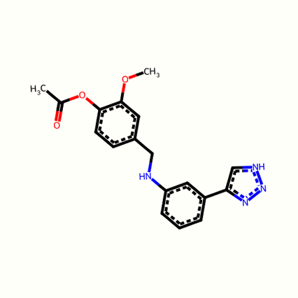 COc1cc(CNc2cccc(-c3c[nH]nn3)c2)ccc1OC(C)=O